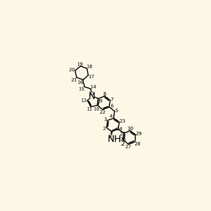 Nc1ccc(Cc2ccc3c(ccn3CCC3CCCCC3)c2)cc1-c1ccccc1